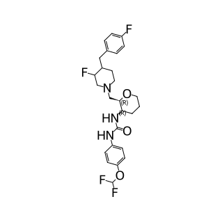 O=C(Nc1ccc(OC(F)F)cc1)N[C@@H]1CCCO[C@@H]1CN1CCC(Cc2ccc(F)cc2)C(F)C1